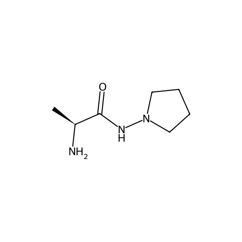 C[C@H](N)C(=O)NN1CCCC1